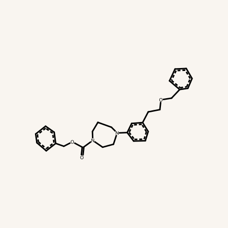 O=C(OCc1ccccc1)N1CCCN(c2cccc(CCOCc3ccccc3)c2)CC1